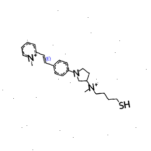 C[n+]1ccccc1/C=C/c1ccc(N2CCC([N+](C)(C)CCCCS)C2)cc1